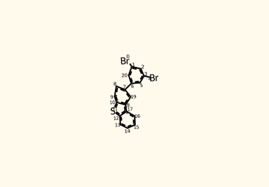 Brc1cc(Br)cc(-c2ccc3sc4ccccc4c3c2)c1